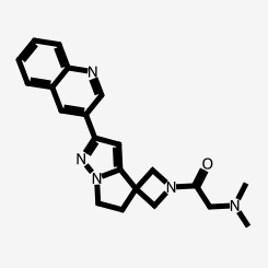 CN(C)CC(=O)N1CC2(CCn3nc(-c4cnc5ccccc5c4)cc32)C1